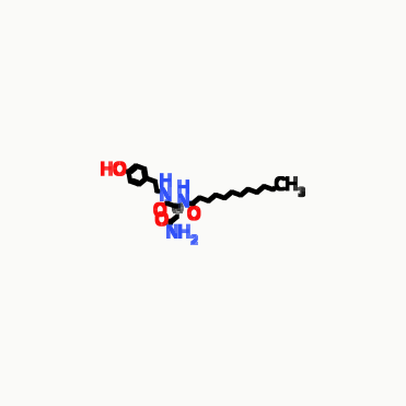 CCCCCCCCCCCC(=O)N[C@H](CC(N)=O)C(=O)NCCc1ccc(O)cc1